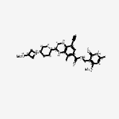 C#Cc1cc(C(=O)NCc2c(SC)cc(C)[nH]c2=O)c(C)c2c1OC[C@H]([C@H]1CC[C@@H](N3CC(OC)C3)CC1)O2